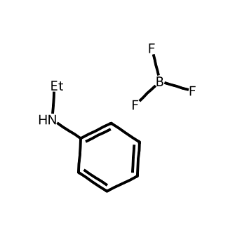 CCNc1ccccc1.FB(F)F